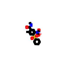 C=NC(=O)c1cc([N+](=O)[O-])c(S(=O)(=O)C2CCCCC2)cc1C